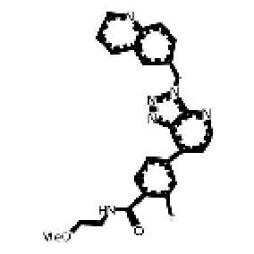 COCCNC(=O)c1ccc(-c2ccnc3c2nnn3Cc2ccc3ncccc3c2)cc1F